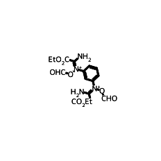 CCOC(=O)C(N)=[N+](OC=O)c1cccc([N+](OC=O)=C(N)C(=O)OCC)c1